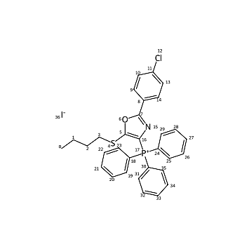 CCCCSc1oc(-c2ccc(Cl)cc2)nc1[P+](c1ccccc1)(c1ccccc1)c1ccccc1.[I-]